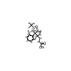 CC(C)(C)[S+]([O-])NC(c1ccccc1F)(C(F)F)C(F)(F)CCC(=O)O